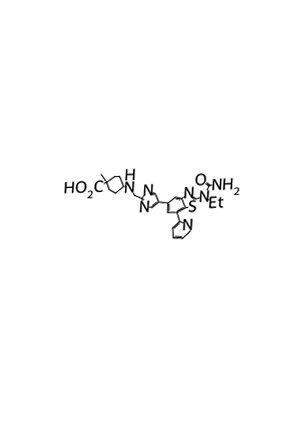 CCN(C(N)=O)c1nc2cc(-c3cnc(CNC4CCC(C)(C(=O)O)CC4)nc3)cc(-c3ccccn3)c2s1